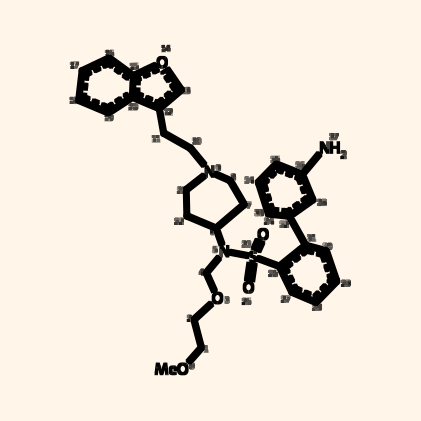 COCCOCN(C1CCN(CCc2coc3ccccc23)CC1)S(=O)(=O)c1ccccc1-c1cccc(N)c1